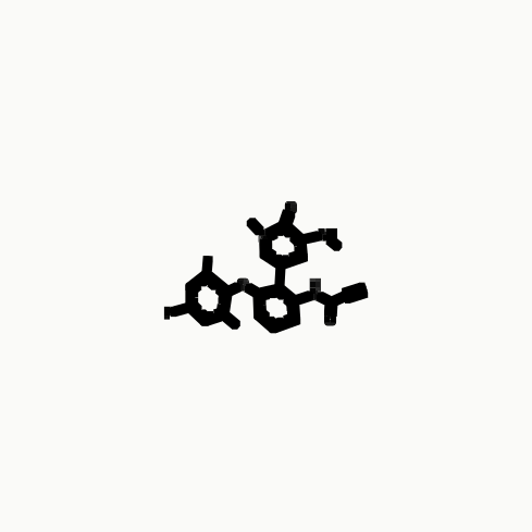 C#CC(=O)Nc1cccc(Oc2c(C)cc(F)cc2C)c1-c1cc(NC)c(=O)n(C)c1